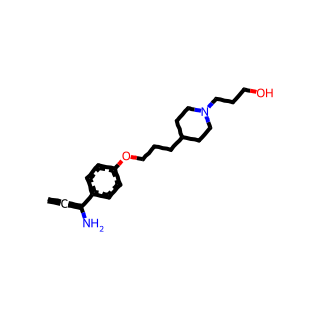 C=C=C(N)c1ccc(OCCCC2CCN(CCCO)CC2)cc1